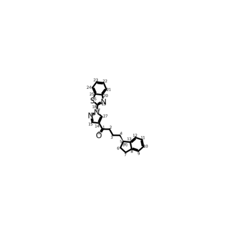 O=C(CCC[C@@H]1CCc2ccccc21)c1cnn(-c2nc3ccccc3s2)c1